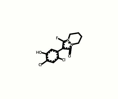 O=c1c(-c2cc(O)c(Cl)cc2Cl)c(F)n2n1CCCC2